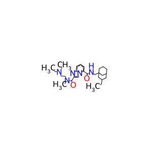 CCC1CC2CCCC(CNC(=O)c3cccc4nc(C(=O)N(C)CCN(CC)CC)cn34)(C1)C2